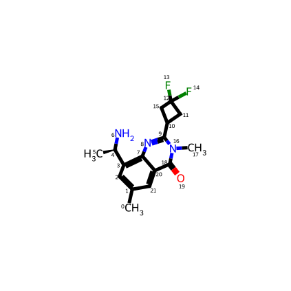 Cc1cc([C@@H](C)N)c2nc(C3CC(F)(F)C3)n(C)c(=O)c2c1